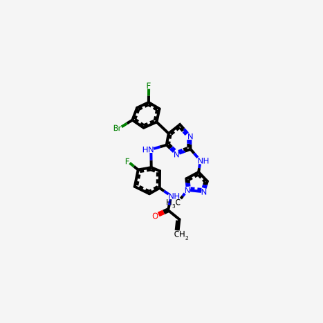 C=CC(=O)Nc1ccc(F)c(Nc2nc(Nc3cnn(C)c3)ncc2-c2cc(F)cc(Br)c2)c1